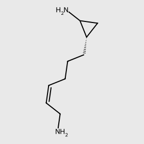 NC/C=C\CCC[C@H]1CC1N